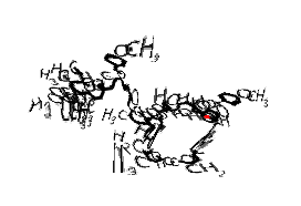 C=C1CC2CC[C@@]34OC5[C@H]6O[C@H](CC[C@@H]6O[C@H]6C(O3)[C@]3(O[C@@H](c7ccc(OC)cc7)O[C@@H]43)O[C@@H]56)CC(=O)O[C@@H]3[C@@H](C)[C@@H]4O[C@H](CC(=O)/C=C/[C@@H](OCc5ccc(OC)cc5)[C@@H](C)CC(=O)C[C@H](C)[C@@H]5O[C@H](CC)[C@H](C)C[C@@H]5O[Si](C)(C)C(C)(C)C)[C@H](C)C[C@@H]4O[C@H]3CC3O[C@@H](CCC1O2)C[C@@H](C)C3=C